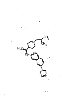 C=C(Nc1cc2cc(-c3cncs3)ccc2cn1)C1CCN(CC(C)C)CC1